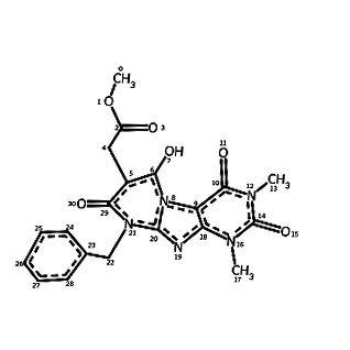 COC(=O)Cc1c(O)n2c3c(=O)n(C)c(=O)n(C)c3nc2n(Cc2ccccc2)c1=O